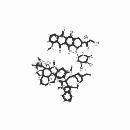 CCC1=CC2CN(C1)Cc1c([nH]c3ccccc13)[C@@](C(=O)OC)(c1cc3c(cc1OC)N(C)[C@H]1[C@@](O)(C(=O)OC)[C@H](OC(C)=O)[C@]4(CC)C=CCN5CC[C@]31[C@@H]54)C2.COc1cccc2c1C(=O)c1c(O)c3c(c(O)c1C2=O)C[C@@](O)(C(=O)CO)C[C@@H]3O[C@H]1C[C@H](N)[C@H](O)[C@H](C)O1